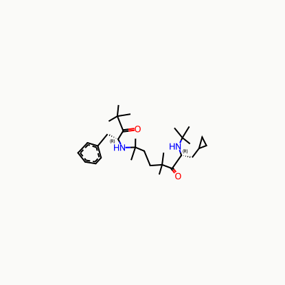 CC(C)(C)N[C@H](CC1CC1)C(=O)C(C)(C)CCC(C)(C)N[C@H](Cc1ccccc1)C(=O)C(C)(C)C